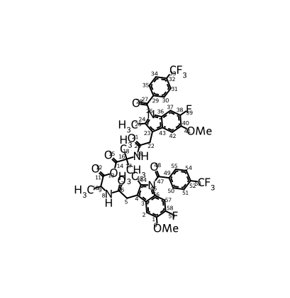 COc1cc2c(CC(=O)NC(C)C(=O)OC(=O)C(C)(C)NC(=O)Cc3c(C)n(C(=O)c4ccc(C(F)(F)F)cc4)c4cc(F)c(OC)cc34)c(C)n(C(=O)c3ccc(C(F)(F)F)cc3)c2cc1F